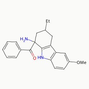 CCC1Cc2c([nH]c3ccc(OC)cc23)C(N)(C(=O)c2ccccc2)C1